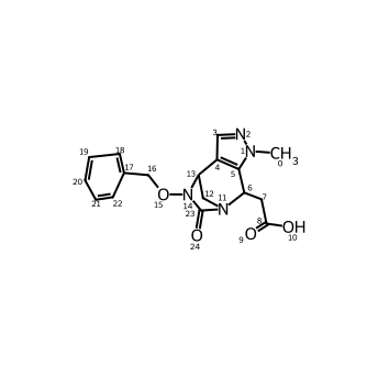 Cn1ncc2c1C(CC(=O)O)N1CC2N(OCc2ccccc2)C1=O